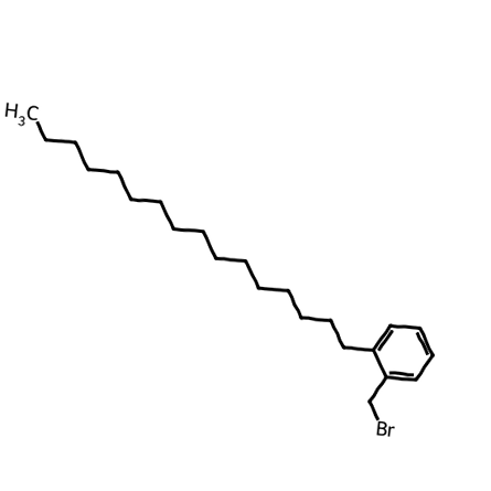 CCCCCCCCCCCCCCCCc1ccccc1CBr